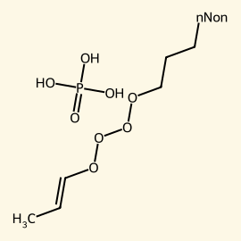 CC=COOOOCCCCCCCCCCCC.O=P(O)(O)O